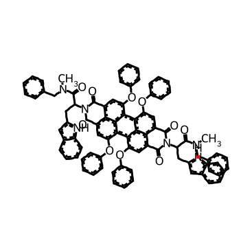 CN(Cc1ccccc1)C(=O)C(Cc1cc2ccccc2[nH]1)N1C(=O)c2cc(Oc3ccccc3)c3c4c(Oc5ccccc5)cc5c6c(cc(Oc7ccccc7)c(c7c(Oc8ccccc8)cc(c2c37)C1=O)c64)C(=O)N(C(Cc1cc2ccccc2[nH]1)C(=O)N(C)Cc1ccccc1)C5=O